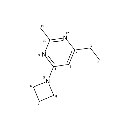 CCc1cc(N2CCC2)nc(C)n1